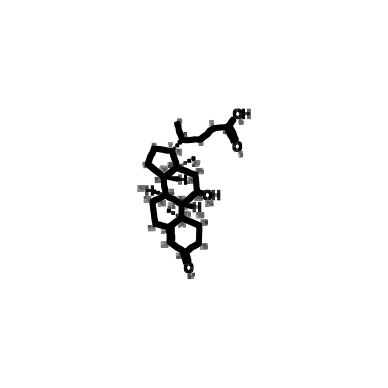 CC(CCC(=O)O)[C@H]1CC[C@H]2[C@@H]3CCC4=CC(=O)CC[C@]4(C)[C@H]3C(O)C[C@]12C